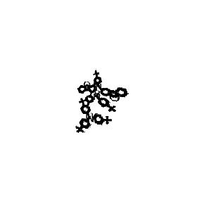 CC(C)(C)c1ccc(N2B3c4cc5oc6ccccc6c5cc4-n4c5ccc(C(C)(C)C)cc5c5c6oc7ccccc7c6c(c3c54)-c3cc4c(cc32)-c2cc(N(c3ccc(C(C)(C)C)cc3)c3ccc(C(C)(C)C)cc3)ccc2C4(C)C)cc1